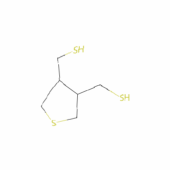 SCC1CSCC1CS